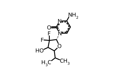 CC(C)C1O[C@@H](n2ccc(N)nc2=O)C(F)(F)C1O